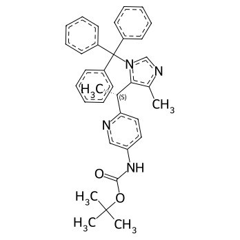 Cc1ncn(C(c2ccccc2)(c2ccccc2)c2ccccc2)c1[C@@H](C)c1ccc(NC(=O)OC(C)(C)C)cn1